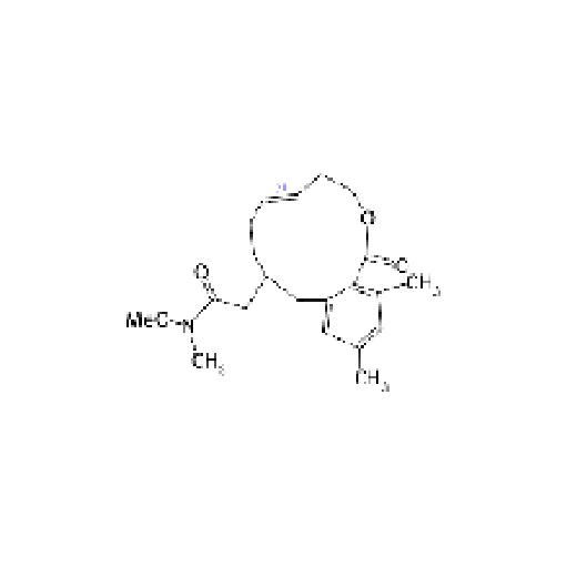 CON(C)C(=O)CC1CC/C=C/CCOC(=O)c2c(C)cc(C)cc2C1